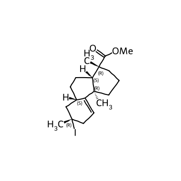 COC(=O)[C@]1(C)CCC[C@@]2(C)C3=CC[C@](C)(I)C[C@@H]3CC[C@H]12